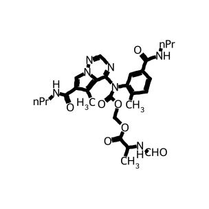 CCCNC(=O)c1ccc(C)c(N(C(=O)OCOC(=O)C(C)NC=O)c2ncnn3cc(C(=O)NCCC)c(C)c23)c1